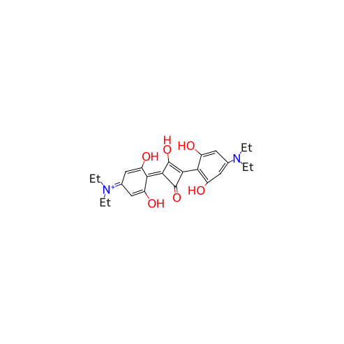 CCN(CC)c1cc(O)c(C2=C(O)C(=C3C(O)=CC(=[N+](CC)CC)C=C3O)C2=O)c(O)c1